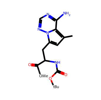 COC(=O)C(Cc1cc(C)c2c(N)ncnn12)NC(=O)OC(C)(C)C